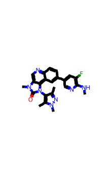 CNc1ncc(-c2ccc3ncc4c(c3c2)n(-c2c(C)nn(C)c2C)c(=O)n4C)cc1F